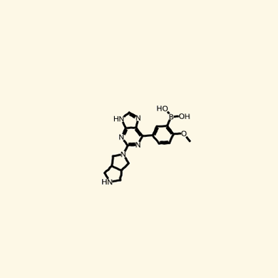 COc1ccc(-c2nc(N3CC4CNCC4C3)nc3[nH]cnc23)cc1B(O)O